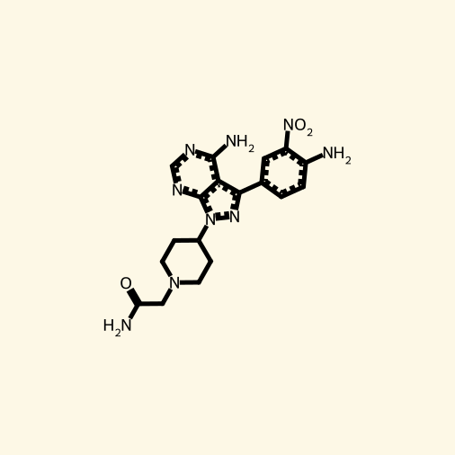 NC(=O)CN1CCC(n2nc(-c3ccc(N)c([N+](=O)[O-])c3)c3c(N)ncnc32)CC1